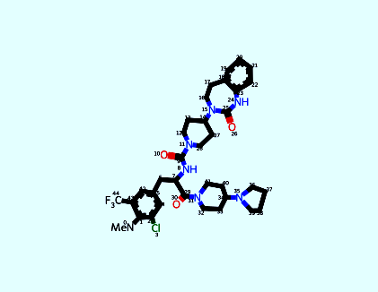 CNc1c(Cl)cc(CC(NC(=O)N2CCC(N3CCc4ccccc4NC3=O)CC2)C(=O)N2CCC(N3CCCC3)CC2)cc1C(F)(F)F